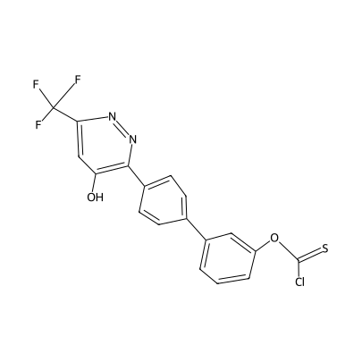 Oc1cc(C(F)(F)F)nnc1-c1ccc(-c2cccc(OC(=S)Cl)c2)cc1